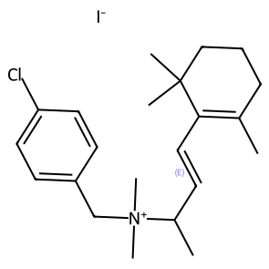 CC1=C(/C=C/C(C)[N+](C)(C)Cc2ccc(Cl)cc2)C(C)(C)CCC1.[I-]